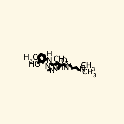 Cc1ccc(Nc2ncnn3cc(C(=O)NCCCCN(C)C)c(C)c23)cc1O